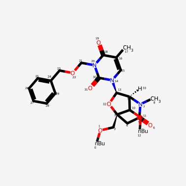 CCCCOC[C@]12CC(=O)N(C)[C@@H](C1OCCCC)[C@H](n1cc(C)c(=O)n(COCc3ccccc3)c1=O)O2